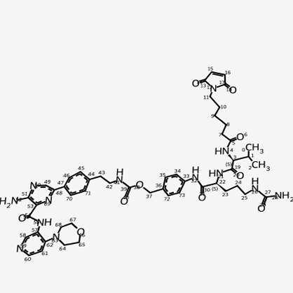 CC(C)[C@H](NC(=O)CCCCCN1C(=O)C=CC1=O)C(=O)N[C@@H](CCCNC(N)=O)C(=O)Nc1ccc(COC(=O)NCCc2ccc(-c3cnc(N)c(C(=O)Nc4cnccc4N4CCOCC4)n3)cc2)cc1